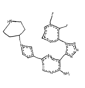 Nc1ncc(-c2ccn(C3CCNCC3)c2)nc1-c1nnnn1-c1cccc(F)c1F